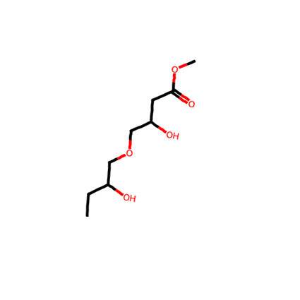 CCC(O)COCC(O)CC(=O)OC